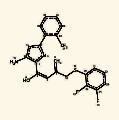 C=C(/C=C(/O)n1nc(-c2ccccc2C(F)(F)F)cc1N)CSc1cccc(F)c1F